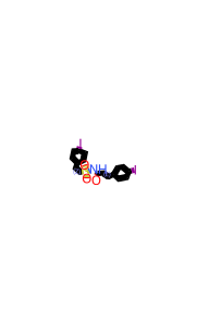 O=C(/C=C/c1ccc(I)cc1)NS(=O)(=O)/C=C\c1ccc(I)cc1